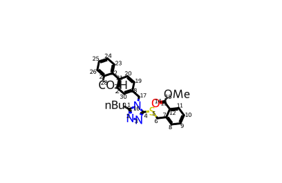 CCCCc1nnc(SCc2ccccc2C(=O)OC)n1Cc1ccc(-c2ccccc2C(=O)O)cc1